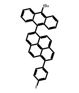 CC(C)(C)c1c2ccccc2c(-c2ccc3ccc4c(-c5ccc(F)cc5)ccc5ccc2c3c54)c2ccccc12